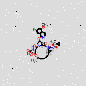 COc1cc(F)cc2c(O[C@@H]3C[C@H]4C(=O)N[C@]5(C(=O)NS(=O)(=O)C6(C)CC6)C[C@H]5C=CCC[C@@H](C)O[C@@H](C)[C@H](NC(=O)O)C(=O)N4C3)nccc12